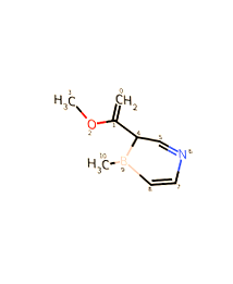 C=C(OC)C1C=NC=CB1C